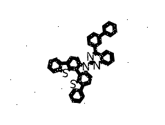 c1ccc(-c2cccc(-c3nc(-n4c5ccc6c7ccccc7sc6c5c5c6sc7ccccc7c6ccc54)nc4ccccc34)c2)cc1